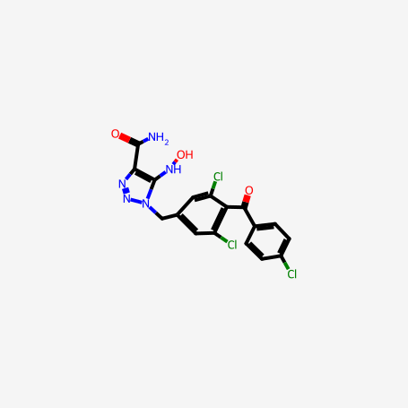 NC(=O)c1nnn(Cc2cc(Cl)c(C(=O)c3ccc(Cl)cc3)c(Cl)c2)c1NO